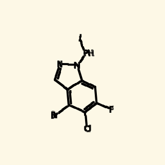 Fc1cc2c(cnn2PI)c(Br)c1Cl